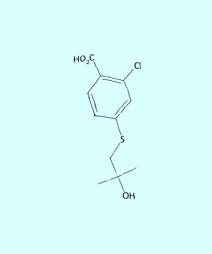 CC(C)(O)CSc1ccc(C(=O)O)c(Cl)c1